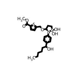 CCCCCC(O)c1ccc(N2C(OCc3ccc(C(=O)OC)s3)CCS2(O)O)cc1